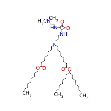 CCCCCCCCCOC(=O)CCCCCCCN(CCCCCCCC(=O)OC(CCCCCCCC)CCCCCCCC)CCCNc1c(NCCN(C)C)c(=O)c1=O